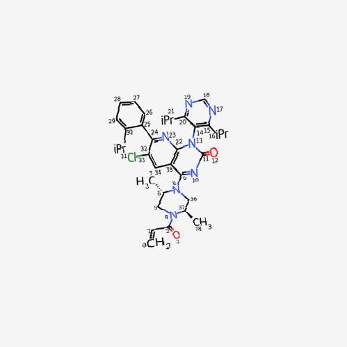 C=CC(=O)N1C[C@H](C)N(c2nc(=O)n(-c3c(C(C)C)ncnc3C(C)C)c3nc(-c4ccccc4C(C)C)c(Cl)cc23)C[C@H]1C